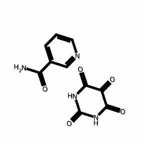 NC(=O)c1cccnc1.O=C1NC(=O)C(=O)C(=O)N1